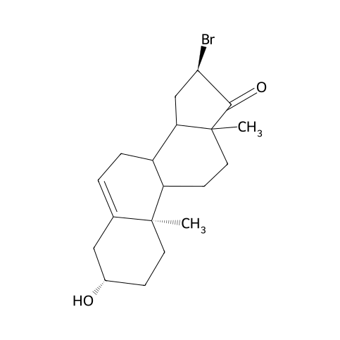 CC12CCC3C(CC=C4C[C@@H](O)CC[C@@]43C)C1C[C@@H](Br)C2=O